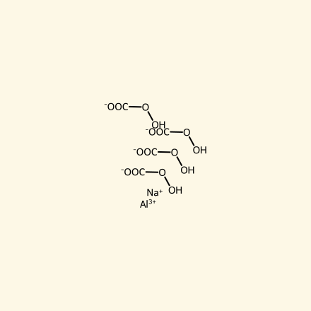 O=C([O-])OO.O=C([O-])OO.O=C([O-])OO.O=C([O-])OO.[Al+3].[Na+]